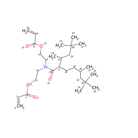 C=CC(=O)OCCN(CCOC(=O)C=C)C(=O)C(CCC(C)CC(C)(C)C)C(C)CC(C)(C)C